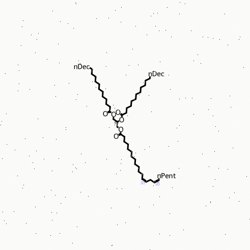 CCCCC/C=C\C/C=C\CCCCCCCCCCCC(=O)OC[C@@H](COC(=O)CCCCCCCCCCCCCCCCCCCCC)OC(=O)CCCCCCCCCCCCCCCCCCCCC